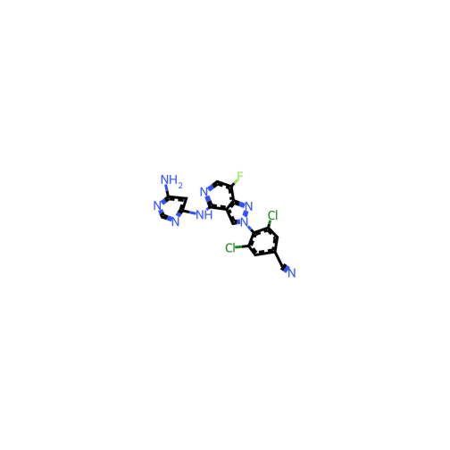 N#Cc1cc(Cl)c(-n2cc3c(Nc4cc(N)ncn4)ncc(F)c3n2)c(Cl)c1